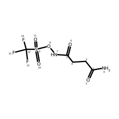 NC(=O)CCC(=O)NOS(=O)(=O)C(F)(F)F